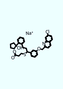 O=C([O-])CCSC(CCc1ccccc1C1(O)CCCC1)c1cccc(OCc2ccc3ccc(Cl)cc3n2)c1.[Na+]